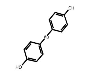 Oc1cc[c]([Au][c]2ccc(O)cc2)cc1